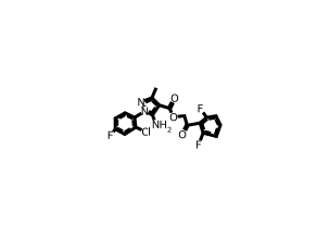 Cc1nn(-c2ccc(F)cc2Cl)c(N)c1C(=O)OCC(=O)c1c(F)cccc1F